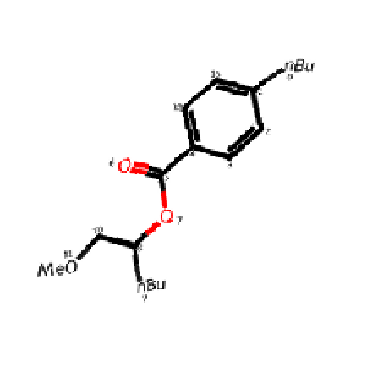 CCCCc1ccc(C(=O)OC(CCCC)COC)cc1